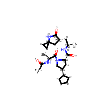 CC(C)(C)[C@H](NC(=O)C(F)(F)F)C(=O)N1C[C@H](C2CCCC2)C[C@H]1C(=O)N[C@H](C#N)C[C@@H]1CC2(CC2)NC1=O